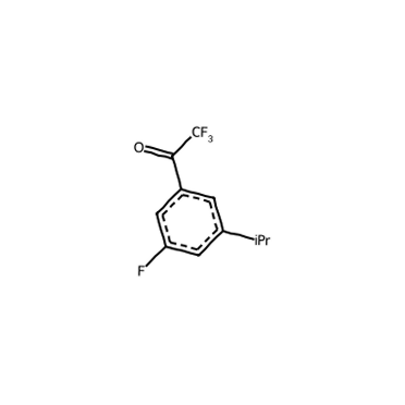 CC(C)c1cc(F)cc(C(=O)C(F)(F)F)c1